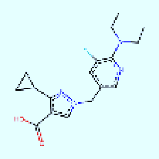 CCN(CC)c1ncc(Cn2cc(C(=O)O)c(C3CC3)n2)cc1F